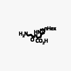 CCCCCCn1cnc(CC(NC(=O)CCN)C(=O)O)c1